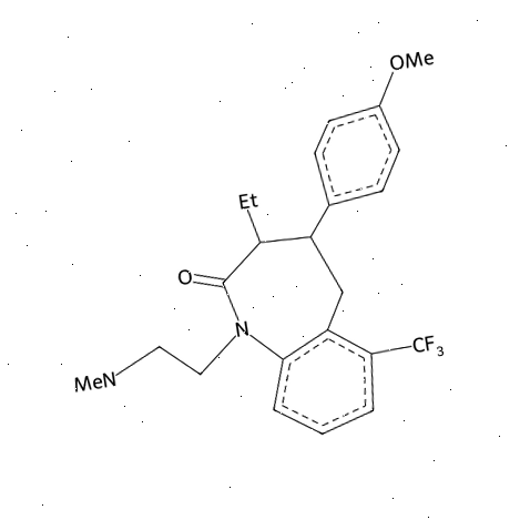 CCC1C(=O)N(CCNC)c2cccc(C(F)(F)F)c2CC1c1ccc(OC)cc1